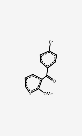 COc1ncccc1C(=O)c1ccc(Br)cc1